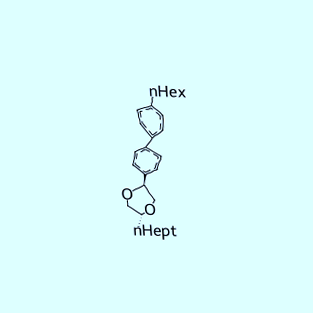 CCCCCCC[C@@H]1CO[C@@H](c2ccc(-c3ccc(CCCCCC)cc3)cc2)CO1